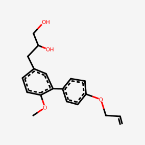 C=CCOc1ccc(-c2cc(CC(O)CO)ccc2OC)cc1